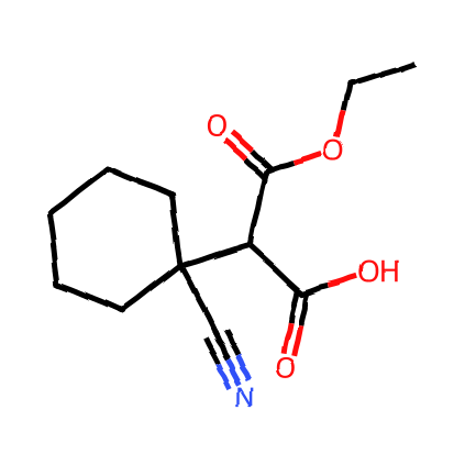 CCOC(=O)C(C(=O)O)C1(C#N)CCCCC1